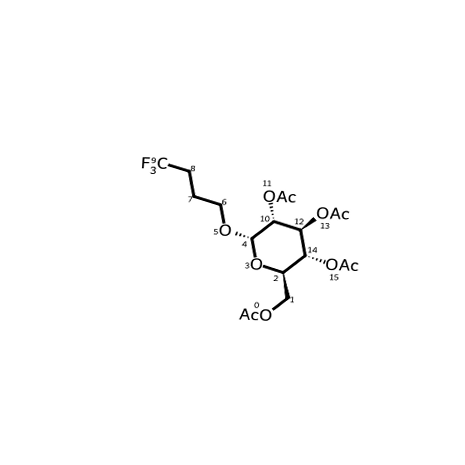 CC(=O)OC[C@H]1O[C@H](OCCCC(F)(F)F)[C@H](OC(C)=O)[C@@H](OC(C)=O)[C@@H]1OC(C)=O